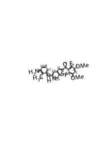 COc1cc(OC)c(F)c(C(=O)c2cc3cc(Nc4cccc(N)c4C)ncc3s2)c1F